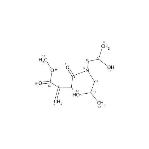 C=C(CC(=O)N(CC(C)O)CC(C)O)C(=O)OC